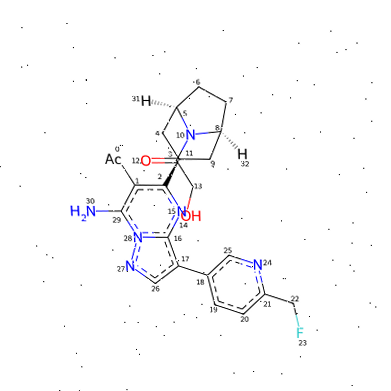 CC(=O)c1c([C@H]2C[C@H]3CC[C@@H](C2)N3C(=O)CO)nc2c(-c3ccc(CF)nc3)cnn2c1N